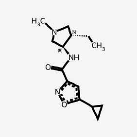 CC[C@H]1CN(C)C[C@@H]1NC(=O)c1cc(C2CC2)on1